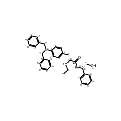 CCO[C@H](Cc1ccc(N(Cc2ccccc2)Cc2ccccc2)cc1)C(=O)N[C@H](CO)c1ccccc1